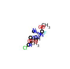 COC(=O)c1cc(F)c2nc(CN3CCN(c4cccc5c4O[C@](C)(c4ccc(Cl)cn4)O5)[C@H]4COC[C@H]43)n(CCn3cccn3)c2c1